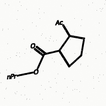 CCCOC(=O)C1CCCC1C(C)=O